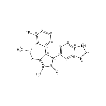 CSCC1=C(O)C(=O)N(c2ccc3[nH]cnc3c2)C1c1cccc(F)c1